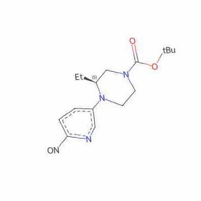 CC[C@H]1CN(C(=O)OC(C)(C)C)CCN1c1ccc(N=O)nc1